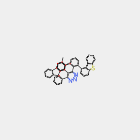 Cc1cc2c(c(-c3c(-c4ccccc4)nnnc3-c3c(-c4ccccc4)cccc3-c3cccc4sc5ccccc5c34)c1C)Cc1ccccc1-2